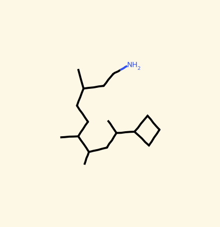 CC(CCN)CCC(C)C(C)CC(C)C1CCC1